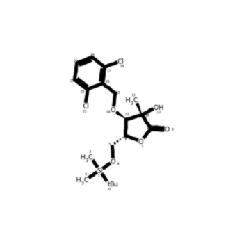 CC(C)(C)[Si](C)(C)OC[C@H]1OC(=O)[C@@](C)(O)[C@@H]1OCc1c(Cl)cccc1Cl